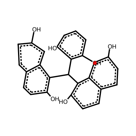 Oc1ccc2ccc(O)c(C(c3c(O)cccc3O)c3c(O)ccc4ccc(O)cc34)c2c1